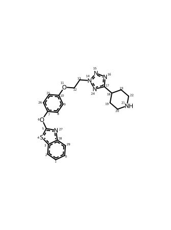 c1ccc2sc(Oc3ccc(OCCn4nnc(C5CCNCC5)n4)cc3)nc2c1